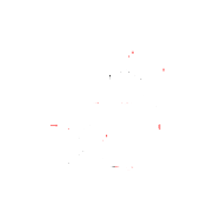 CC1C(CO)OC(OC2OC(CO)C(O)C(O)C2O)C1O